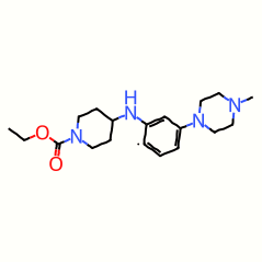 CCOC(=O)N1CCC(Nc2[c]ccc(N3CCN(C)CC3)c2)CC1